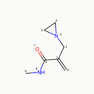 C=C(CN1CC1)C(=O)NC